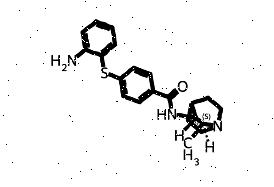 C[C@H]1[C@H](NC(=O)c2ccc(Sc3ccccc3N)cc2)C2CCN1CC2